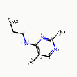 CSCCNc1nc(C(C)(C)C)ncc1C(C)=O